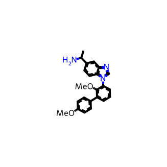 COc1ccc(-c2cccc(-n3cnc4cc(C(C)N)ccc43)c2OC)cc1